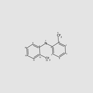 FC(F)(F)c1ccccc1[N]c1ccccc1C(F)(F)F